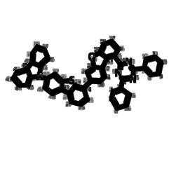 c1ccc(-c2nc(-c3ccccc3)nc(-c3cccc4oc5cc(-c6cccc7c6sc6cc(-n8c9ccccc9c9ccccc98)ccc67)ccc5c34)n2)cc1